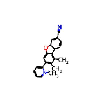 Cc1c(-c2cccc[n+]2C)cc2c(c1C)C1C=CC(C#N)=CC1O2